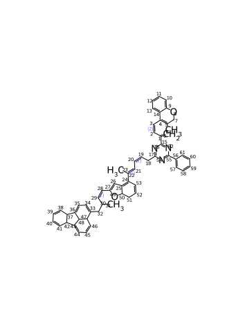 C=C(/C=C\C1=C(C)COc2ccccc21)c1nc(C/C=C\C=C(/C)C2=C3C=C(/C=C\C(C)CC4=CC=C5C6C=CC=CC6C6=CC=CC4C65)OC3CC=C2)nc(-c2ccccc2)n1